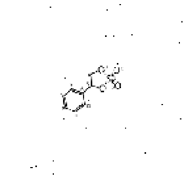 O=S1(=O)OCC(c2ccccc2)O1